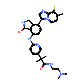 Cc1ccn2c(-c3ccc(Nc4ccc(C(C)(C)C(=O)NCCN(C)C)cn4)c4c3CNC4O)cnc2c1F